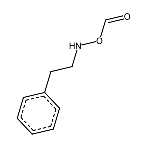 O=CONCCc1ccccc1